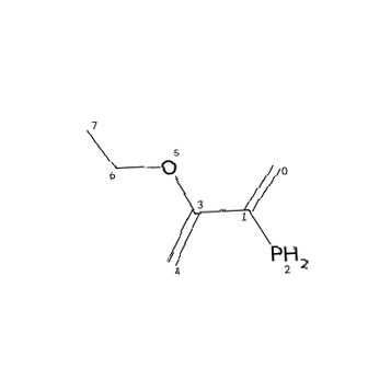 C=C(P)C(=C)OCC